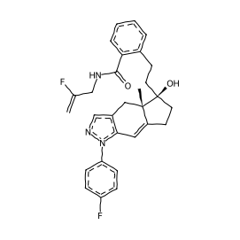 C=C(F)CNC(=O)c1ccccc1CC[C@]1(O)CCC2=Cc3c(cnn3-c3ccc(F)cc3)C[C@@]21C